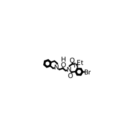 CCN1C(=O)CN(CC(O)CN2CCc3ccccc3C2)C(=O)c2ccc(Br)cc21